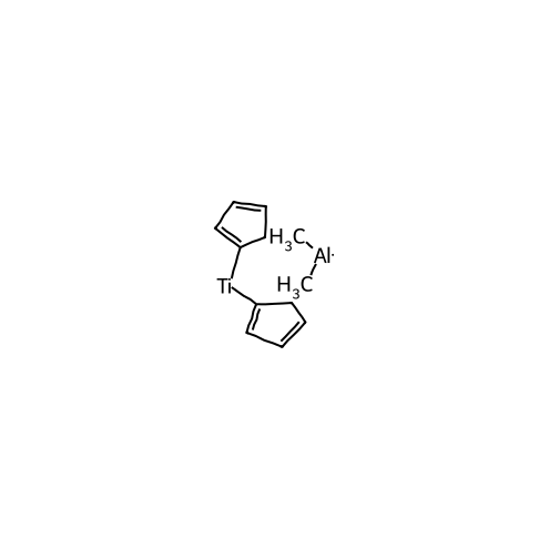 C1=CC[C]([Ti][C]2=CC=CC2)=C1.[CH3][Al][CH3]